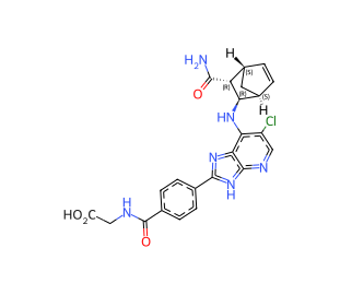 NC(=O)[C@H]1[C@H](Nc2c(Cl)cnc3[nH]c(-c4ccc(C(=O)NCC(=O)O)cc4)nc23)[C@@H]2C=C[C@@H]1C2